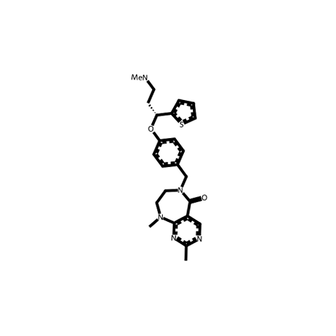 CNCC[C@@H](Oc1ccc(CN2CCN(C)c3nc(C)ncc3C2=O)cc1)c1cccs1